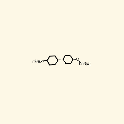 CCCCCCCO[C@H]1CC[C@H](C2CCC(CCCCCC)CC2)CC1